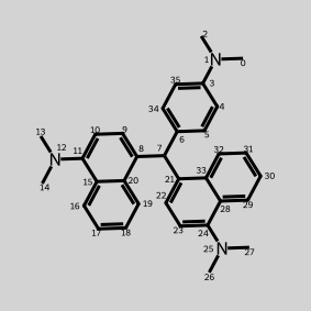 CN(C)c1ccc(C(c2ccc(N(C)C)c3ccccc23)c2ccc(N(C)C)c3ccccc23)cc1